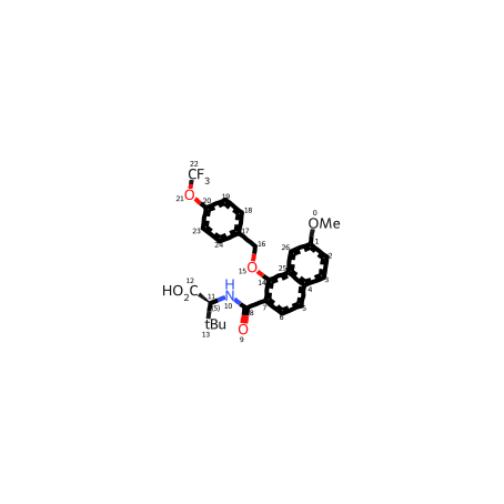 COc1ccc2ccc(C(=O)N[C@H](C(=O)O)C(C)(C)C)c(OCc3ccc(OC(F)(F)F)cc3)c2c1